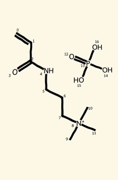 C=CC(=O)NCCC[N+](C)(C)C.O=P(O)(O)O